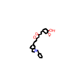 COc1cc(C=CC(=O)CC(=O)C=Cc2ccc3ccn(Cc4ccccc4)c3c2)ccc1O